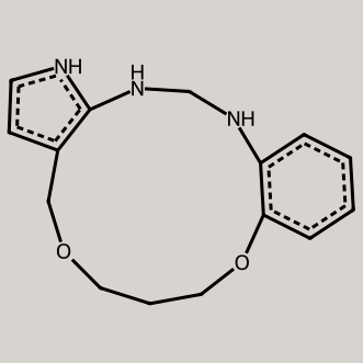 c1ccc2c(c1)NCNc1[nH]ccc1COCCCO2